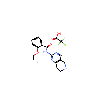 CCOc1ccccc1C(=O)Nc1ncc2c(n1)CCNC2.O=C(O)C(F)(F)F